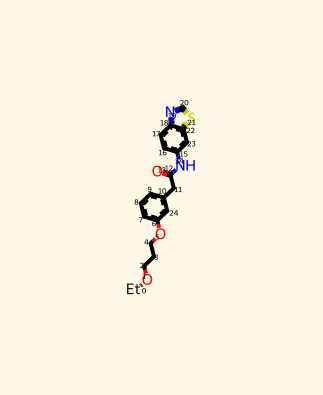 CCOCCCOc1cccc(CC(=O)Nc2ccc3ncsc3c2)c1